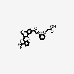 N#Cc1cc2c(C(F)(F)F)cccc2nc1-c1cc(C(=O)CNc2ccccc2OCCC(=O)O)ccc1Cl